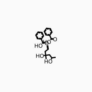 C=CCC(C)(O)CC(C)O.O=C(O)c1ccccc1.O=C(O)c1ccccc1